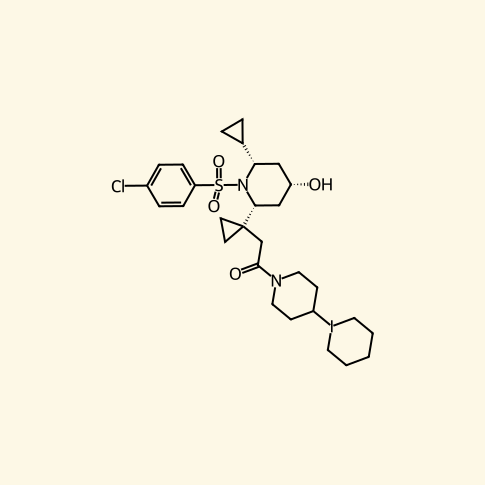 O=C(CC1([C@H]2C[C@@H](O)C[C@@H](C3CC3)N2S(=O)(=O)c2ccc(Cl)cc2)CC1)N1CCC(I2CCCCC2)CC1